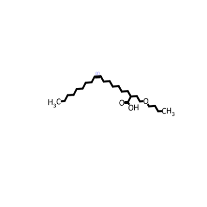 CCCCCCCC/C=C\CCCCCCC(CCOCCCC)C(=O)O